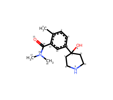 Cc1ccc(C2(O)CCNCC2)cc1C(=O)N(C)C